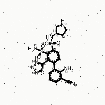 N#Cc1cccc(-c2ccc(S(=O)(=O)N[C@@H]3CCNC3)c(S(N)(=O)=O)c2-c2nnn[nH]2)c1N